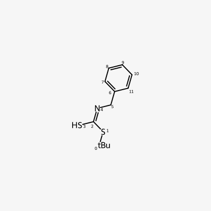 CC(C)(C)SC(S)=NCc1ccccc1